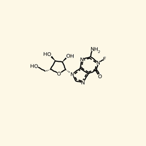 Nc1nc2c(ncn2[C@@H]2O[C@H](CO)[C@@H](O)[C@H]2O)c(=O)n1F